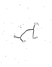 CCC(CC)CC(C)O